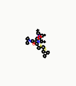 CC(C)(C)c1ccc(N2c3cc(-n4c5ccc(C(C)(C)C)cc5c5cc(C(C)(C)C)ccc54)ccc3B3c4ccc(-n5c6ccccc6c6ccccc65)cc4Oc4cc(-c5cccc6c5sc5ccc7sc8c(-c9ccccc9-c9ccccc9)cccc8c7c56)cc2c43)c(-c2ccccc2)c1